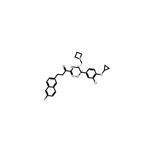 O=C(CCc1ccc2cc(F)ccc2c1)C(=O)N[C@H](CN1CCC1)[C@H](O)c1ccc(OC2CC2)c(Cl)c1